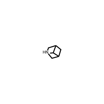 CC1C2CNCC1C2